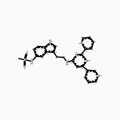 CS(=O)(=O)Nc1ccc2[nH]cc(CCNc3cc(-c4cccnc4)nc(-c4ccccn4)n3)c2c1